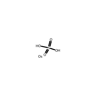 O=S(=O)(O)O.[Os]